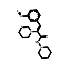 O=Nc1cccc(/C=C(/C(=O)NN2CCCCC2)N2C=NCCC2)c1